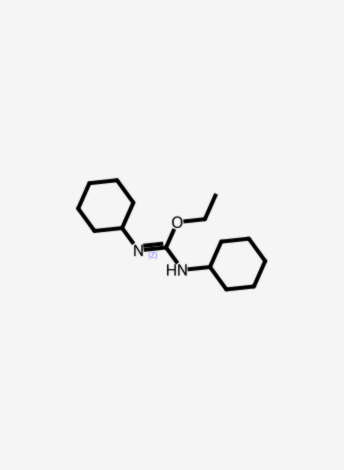 CCO/C(=N\C1CCCCC1)NC1CCCCC1